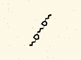 C=CCC[C@H]1CC[C@H](/C=C/CC[C@H]2CC[C@H](CCC=C)CC2)CC1